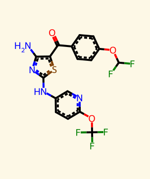 Nc1nc(Nc2ccc(OC(F)(F)F)nc2)sc1C(=O)c1ccc(OC(F)F)cc1